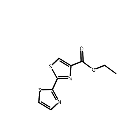 CCOC(=O)c1csc(-c2nccs2)n1